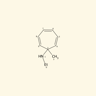 CCNC1(C)C=CC=CC=C1